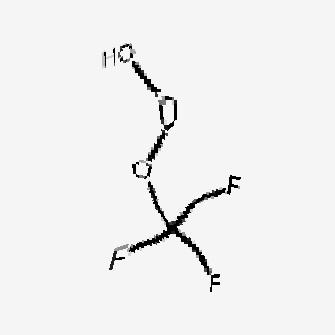 OOOC(F)(F)F